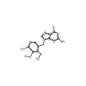 CCOc1c(C)ncc(Cn2cnc3c(Cl)nc(N)nc32)c1CO